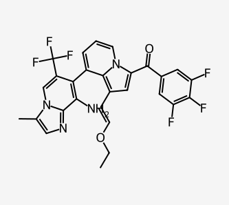 CCOC=Cc1cc(C(=O)c2cc(F)c(F)c(F)c2)n2cccc(-c3c(C(F)(F)F)cn4c(C)cnc4c3N)c12